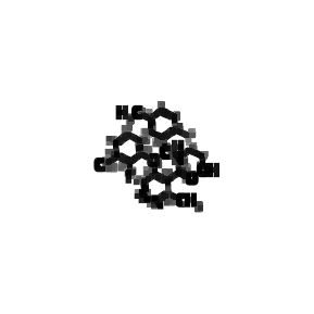 Cc1ccc(C[C@H](CO)NC(=O)c2c(Oc3cccc(Cl)c3F)cnnc2C)c(Cl)c1